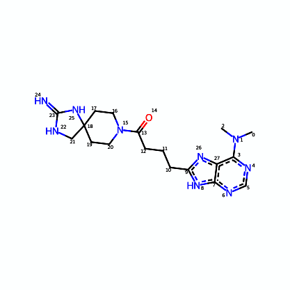 CN(C)c1ncnc2[nH]c(CCCC(=O)N3CCC4(CC3)CNC(=N)N4)nc12